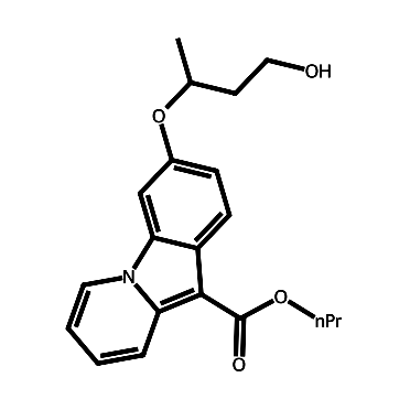 CCCOC(=O)c1c2ccc(OC(C)CCO)cc2n2ccccc12